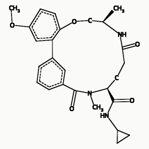 COc1ccc2c(c1)-c1cccc(c1)C(=O)N(C)[C@H](C(=O)NC1CC1)CCC(=O)N[C@H](C)CO2